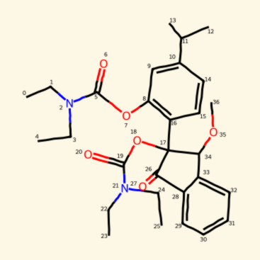 CCN(CC)C(=O)Oc1cc(C(C)C)ccc1C1(OC(=O)N(CC)CC)C(=O)c2ccccc2C1OC